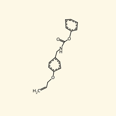 C=CCOc1ccc(CNC(=O)Oc2ccccc2)cc1